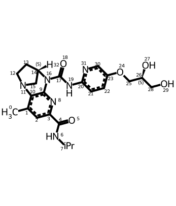 Cc1cc(C(=O)NC(C)C)nc2c1N1CC[C@@H](C1)N2C(=O)Nc1ccc(OC[C@@H](O)CO)cn1